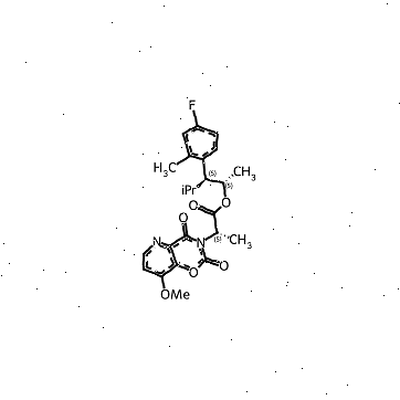 COc1ccnc2c(=O)n([C@@H](C)C(=O)O[C@@H](C)[C@H](c3ccc(F)cc3C)C(C)C)c(=O)oc12